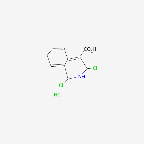 Cl.O=C(O)C1=C2C=CCC=C2C(Cl)NC1Cl